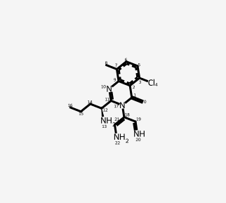 C=C1c2c(Cl)ccc(C)c2N=C([C@@H](N)CCC)N1/C(C=N)=C/N